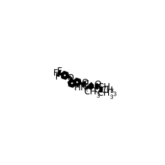 C[C@H](NC(=O)c1ccc2c(Oc3ccc(C(F)(F)F)cc3)cccc2c1)C1(F)CN(C(=O)OC(C)(C)C)C1